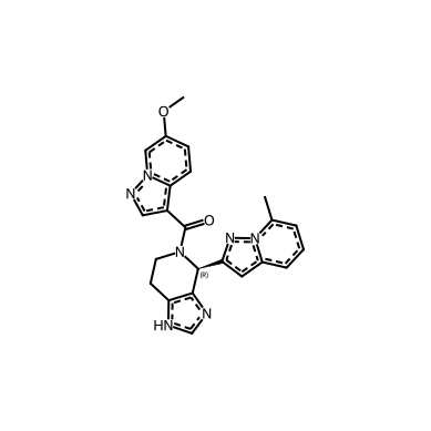 COc1ccc2c(C(=O)N3CCc4[nH]cnc4[C@@H]3c3cc4cccc(C)n4n3)cnn2c1